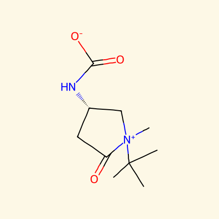 CC(C)(C)[N+]1(C)C[C@@H](NC(=O)[O-])CC1=O